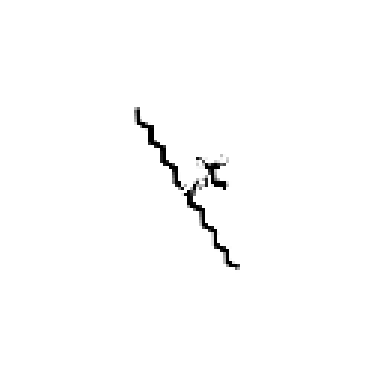 C=CC(=O)[O-].CCCCCCC[CH2][Sn+]([Cl])[CH2]CCCCCCC